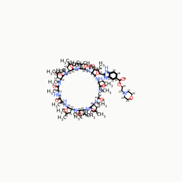 CC[C@@H]1NC(=O)[C@H]([C@H](O)[C@H](C)Cc2nc3cc(C(=O)OCCN4CCOCC4)ccc3[nH]2)N(C)C(=O)[C@H](C(C)C)N(C)C(=O)[C@H](CC(C)C)N(C)C(=O)[C@H](CC(C)C)N(C)C(=O)[C@@H](C)NC(=O)[C@H](C)NC(=O)[C@H](CC(C)C)N(C)C(=O)[C@H](C(C)C)NC(=O)[C@H](CC(C)C)N(C)C(=O)CN(C)C1=O